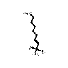 CCCCCCCCCCCCC=CC(N)(N)N